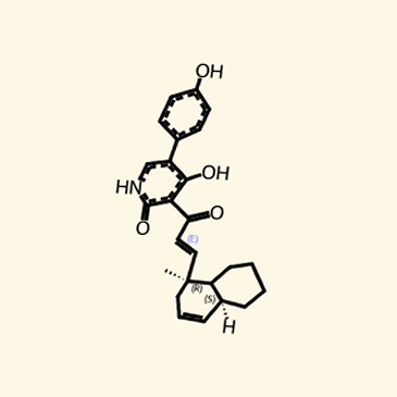 C[C@@]1(/C=C/C(=O)c2c(O)c(-c3ccc(O)cc3)c[nH]c2=O)CC=C[C@@H]2CCCCC21